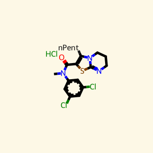 CCCCCC1=C(C(=O)N(C)c2cc(Cl)cc(Cl)c2)SC2=NCCCN21.Cl